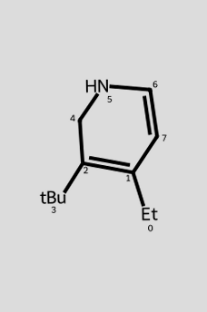 CCC1=C(C(C)(C)C)CNC=C1